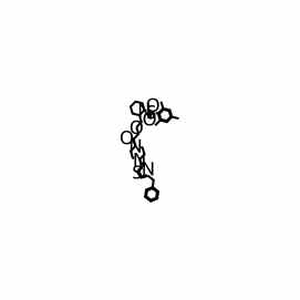 Cc1cc(C)c(S(=O)(=O)N2CCCCC2COCC(=O)N2CCN(c3nc(Cc4ccccc4)cs3)CC2)c(C)c1